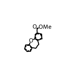 COC(=O)c1ccc2c(c1)Oc1ccccc1CC2